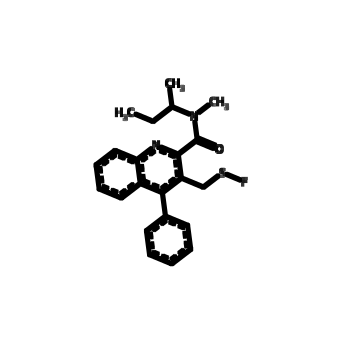 CCC(C)N(C)C(=O)c1nc2ccccc2c(-c2ccccc2)c1CSF